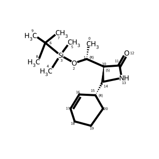 C[C@@H](O[Si](C)(C)C(C)(C)C)[C@H]1C(=O)NC1[C@H]1C=CCCC1